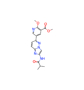 COC(=O)c1cc(-c2ccc3nc(NC(=O)C(C)C)cn3n2)cnc1OC